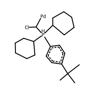 CC(C)(C)c1ccc([PH]([CH](Cl)[Pd])(C2CCCCC2)C2CCCCC2)cc1